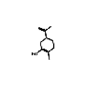 C=C(C)C1CCC(C)=C(O)C1